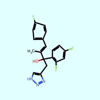 C/C(=C\c1ccc(F)cc1)C(O)(Cc1c[nH]nn1)c1ccc(F)cc1F